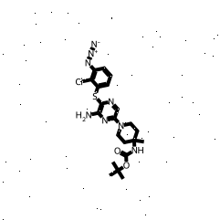 CC1(NC(=O)OC(C)(C)C)CCN(c2cnc(Sc3cccc(N=[N+]=[N-])c3Cl)c(N)n2)CC1